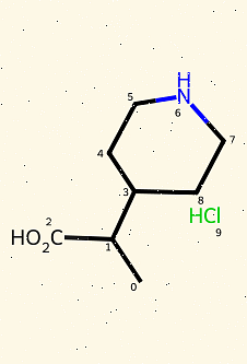 CC(C(=O)O)C1CCNCC1.Cl